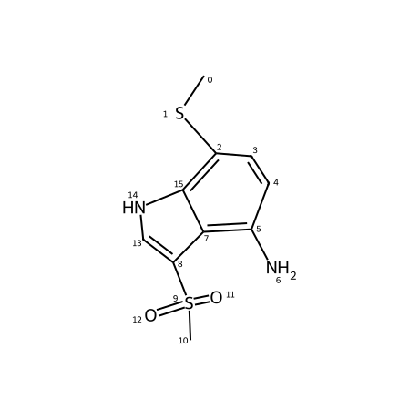 CSc1ccc(N)c2c(S(C)(=O)=O)c[nH]c12